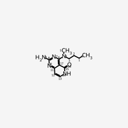 CCCCN(C)c1nc(N)nc2cc[nH]c(=O)c12